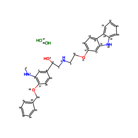 CNc1cc(C(O)CNCCOc2ccc3c(c2)[nH]c2ccccc23)ccc1OCc1ccccc1.Cl.Cl